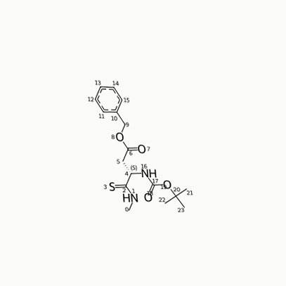 CNC(=S)[C@H](CC(=O)OCc1ccccc1)NC(=O)OC(C)(C)C